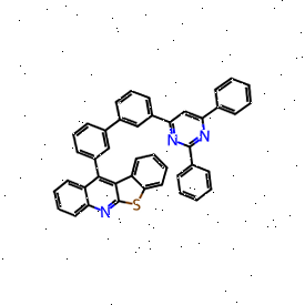 c1ccc(-c2cc(-c3cccc(-c4cccc(-c5c6ccccc6nc6sc7ccccc7c56)c4)c3)nc(-c3ccccc3)n2)cc1